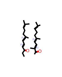 CC(=O)/C(C)=C/C=C(\C)CCC=C(C)C.CCC(=O)/C=C/C=C(\C)CCC=C(C)C